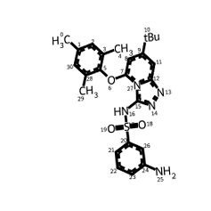 Cc1cc(C)c(Oc2cc(C(C)(C)C)cc3nnc(NS(=O)(=O)c4cccc(N)c4)n23)c(C)c1